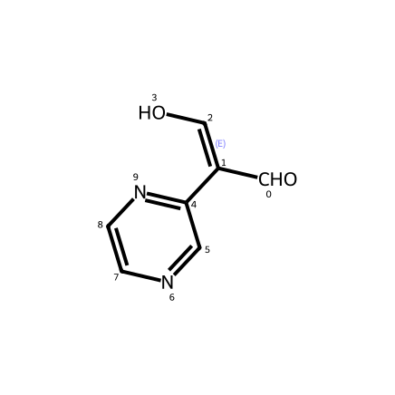 O=C/C(=C/O)c1cnccn1